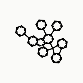 c1ccc(-c2ccc3sc4c(C5(c6ccccc6)c6ccccc6-c6ccccc65)cc(-c5ccccc5)c(-c5ccccc5)c4c3c2)cc1